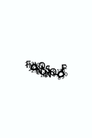 O=C1c2sc(OCc3cccc(F)c3)nc2CCN1c1ccc(F)cc1